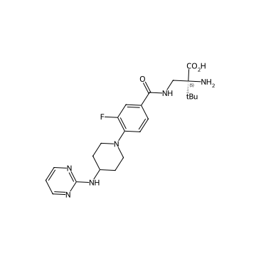 CC(C)(C)[C@](N)(CNC(=O)c1ccc(N2CCC(Nc3ncccn3)CC2)c(F)c1)C(=O)O